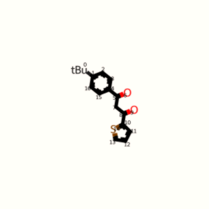 CC(C)(C)c1ccc(C(=O)CC(=O)c2cccs2)cc1